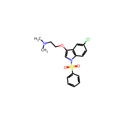 CN(C)CCOc1cn(S(=O)(=O)c2ccccc2)c2ccc(Cl)cc12